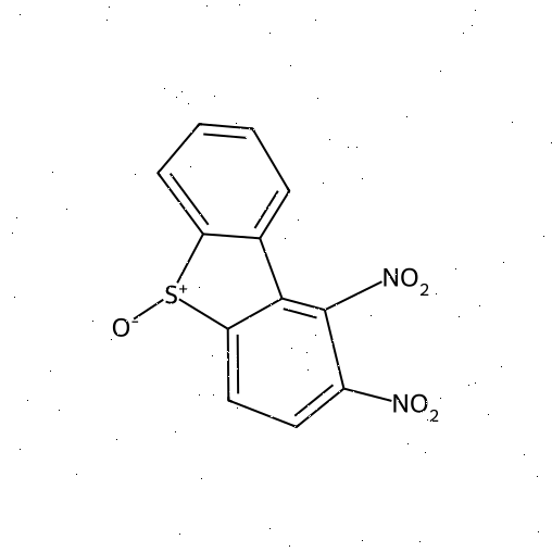 O=[N+]([O-])c1ccc2c(c1[N+](=O)[O-])c1ccccc1[s+]2[O-]